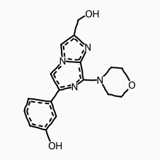 OCc1cn2cc(-c3cccc(O)c3)nc(N3CCOCC3)c2n1